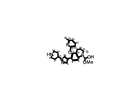 COC(O)N1c2ccc(-c3cnn(C4CCNCC4)c3)c(Oc3cccc(C)n3)c2CC[C@@H]1C